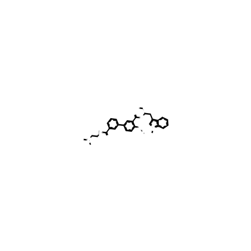 CCCOc1ccc(-c2cccc(C(=O)NCCN(C)C)c2)cc1C(=O)N[C@@H](CO)Cc1cn(C)c2ccccc12